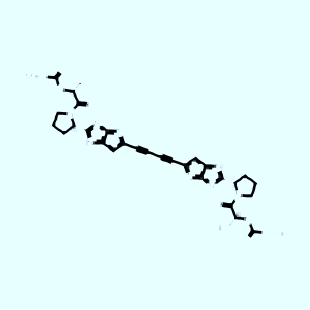 COC(=O)N[C@H](C(=O)N1CCC[C@H]1c1nc2sc(C#CC#Cc3cc4[nH]c([C@@H]5CCCN5C(=O)[C@@H](NC(=O)OC)C(C)C)nc4s3)cc2[nH]1)C(C)C